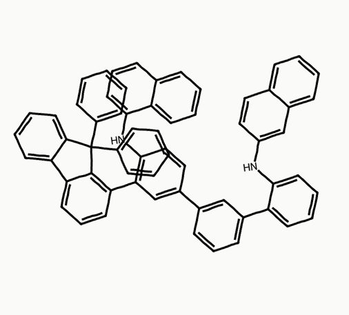 c1ccc(C2(c3ccccc3)c3ccccc3-c3cccc(-c4cc(-c5cccc(-c6ccccc6Nc6ccc7ccccc7c6)c5)ccc4Nc4cccc5ccccc45)c32)cc1